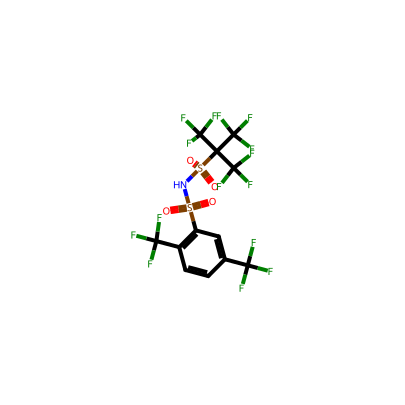 O=S(=O)(NS(=O)(=O)C(C(F)(F)F)(C(F)(F)F)C(F)(F)F)c1cc(C(F)(F)F)ccc1C(F)(F)F